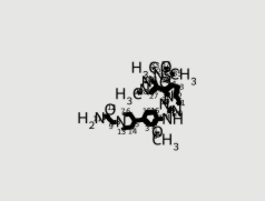 COc1cc(C2CCN(CC(N)=O)CC2)ccc1Nc1ncc2ccc(-c3cn(C)nc3N(C)S(C)(=O)=O)n2n1